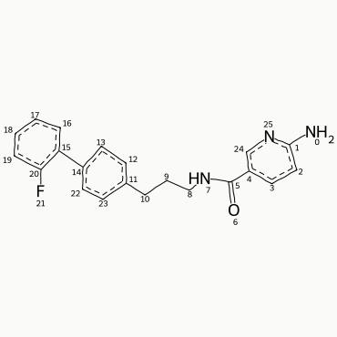 Nc1ccc(C(=O)NCCCc2ccc(-c3ccccc3F)cc2)cn1